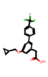 O=C(O)Cc1cc(OCC2CC2)cc(-c2ccc(C(F)(F)F)cc2)c1